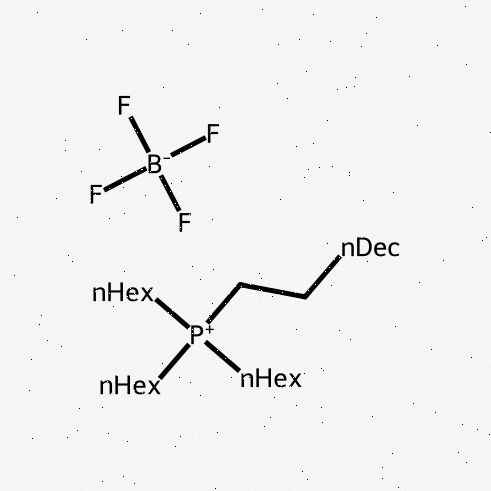 CCCCCCCCCCCC[P+](CCCCCC)(CCCCCC)CCCCCC.F[B-](F)(F)F